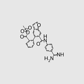 CS(=O)(=O)OC(=O)c1ccccc1-c1cc2ccoc2cc1C(=O)Nc1ccc(C(=N)N)cc1